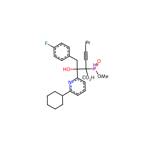 CO[PH](=O)C(C#CC(C)C)(C(=O)O)C(O)(Cc1ccc(F)cc1)c1cccc(C2CCCCC2)n1